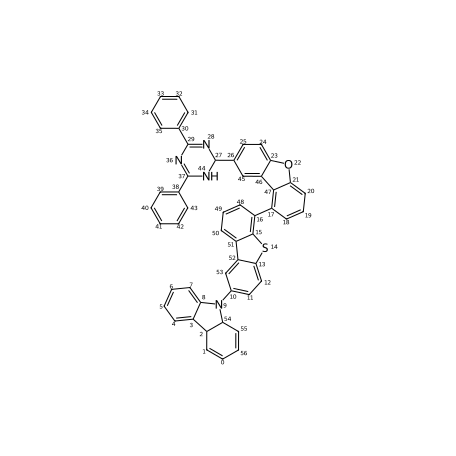 C1=CC2c3ccccc3N(c3ccc4sc5c(-c6cccc7oc8ccc(C9N=C(c%10ccccc%10)N=C(c%10ccccc%10)N9)cc8c67)cccc5c4c3)C2C=C1